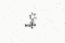 O=P(O)(F)OCC1CCCCC1